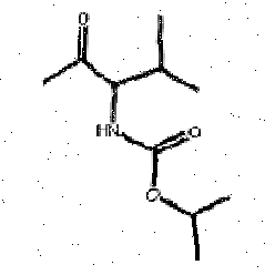 CC(=O)C(NC(=O)OC(C)C)C(C)C